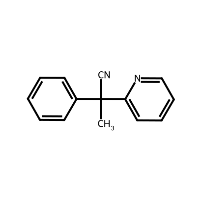 CC(C#N)(c1ccccc1)c1ccccn1